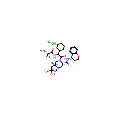 CN[C@@H](C)C(=O)N[C@H](C(=O)N1C[C@H]2C[C@](O)(C(F)(F)F)CN2C[C@H]1C(=O)N[C@@H]1CCOc2ccccc21)C1CCCCC1.Cl.Cl